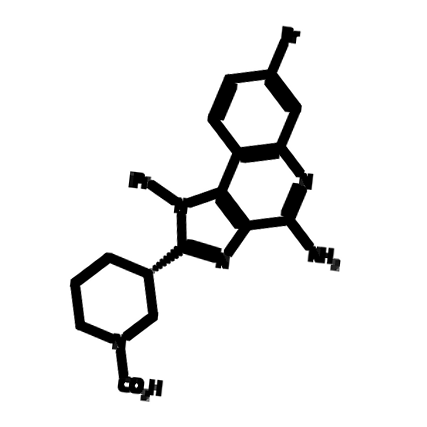 CC(C)n1c([C@H]2CCCN(C(=O)O)C2)nc2c(N)nc3cc(Br)ccc3c21